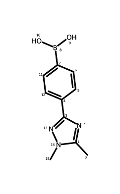 Cc1nc(-c2ccc(B(O)O)cc2)nn1C